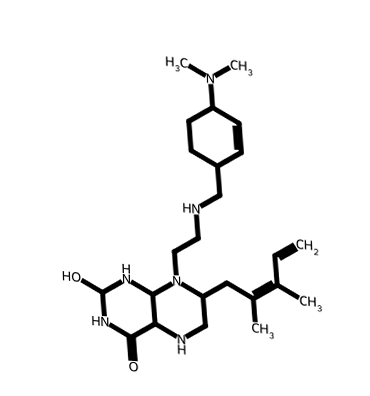 C=C/C(C)=C(/C)CC1CNC2C(=O)NC(O)NC2N1CCNCC1C=CC(N(C)C)CC1